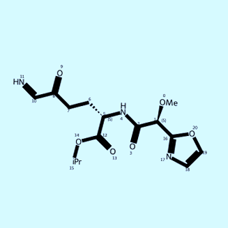 CO[C@H](C(=O)N[C@@H](CCC(=O)C=N)C(=O)OC(C)C)c1ncco1